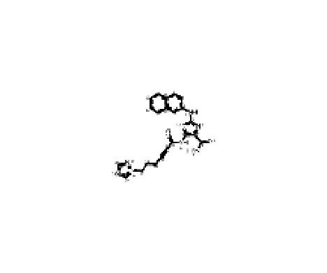 NC(=O)c1nc(Nc2ccc3ccccc3c2)sc1NC(=O)C#CCCCn1cncn1